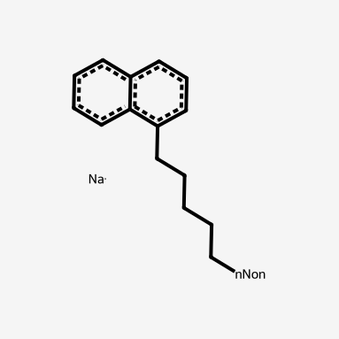 CCCCCCCCCCCCCCc1cccc2ccccc12.[Na]